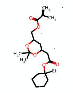 C=C(C)C(=O)OCC1CC(CC(=O)OC2(CC)CCCCC2)OC(C)(C)O1